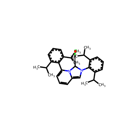 CC(C)c1cccc(C(C)C)c1C1=CC=CC2=CN(c3c(C(C)C)cccc3C(C)C)[CH]([Au][Cl])N21